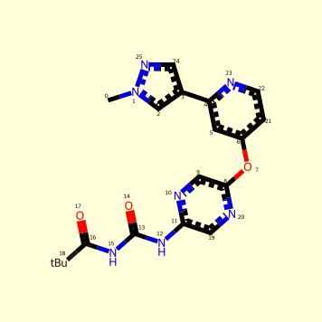 Cn1cc(-c2cc(Oc3cnc(NC(=O)NC(=O)C(C)(C)C)cn3)ccn2)cn1